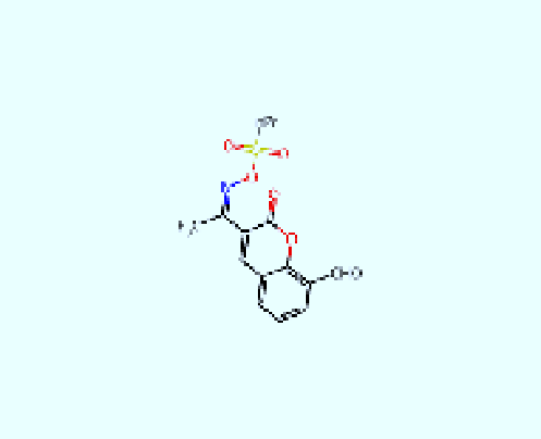 CCCS(=O)(=O)O/N=C(\c1cc2cccc(C=O)c2oc1=O)C(F)(F)F